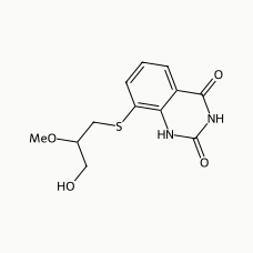 COC(CO)CSc1cccc2c(=O)[nH]c(=O)[nH]c12